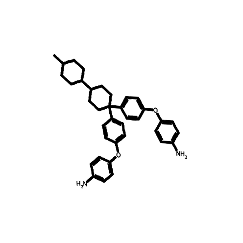 CC1CCC(C2CCC(c3ccc(Oc4ccc(N)cc4)cc3)(c3ccc(Oc4ccc(N)cc4)cc3)CC2)CC1